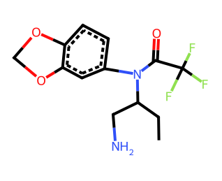 CCC(CN)N(C(=O)C(F)(F)F)c1ccc2c(c1)OCO2